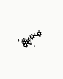 Nc1c(N=Nc2ccc(C=Cc3ccccc3)nc2)cc(S(=O)(=O)O)c2ccccc12